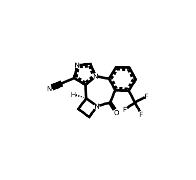 N#Cc1ncn2c1[C@@H]1CCN1C(=O)c1c-2cccc1C(F)(F)F